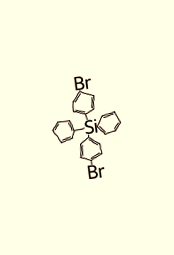 Brc1ccc([Si](c2ccccc2)(c2ccccc2)c2ccc(Br)cc2)cc1